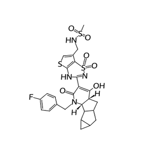 CS(=O)(=O)NCc1csc2c1S(=O)(=O)N=C(C1=C(O)[C@@H]3CC4CC5CC5C4[C@@H]3N(Cc3ccc(F)cc3)C1=O)N2